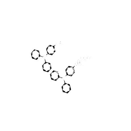 CC(=O)Oc1ccc([S+](c2ccccc2)c2ccccc2)cc1.CC(=O)Oc1ccc([S+](c2ccccc2)c2ccccc2)cc1.O=C([O-])[O-]